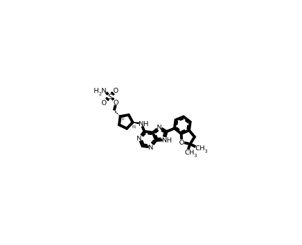 CC1(C)Cc2cccc(-c3nc4c(N[C@H]5CC[C@H](COS(N)(=O)=O)C5)ncnc4[nH]3)c2O1